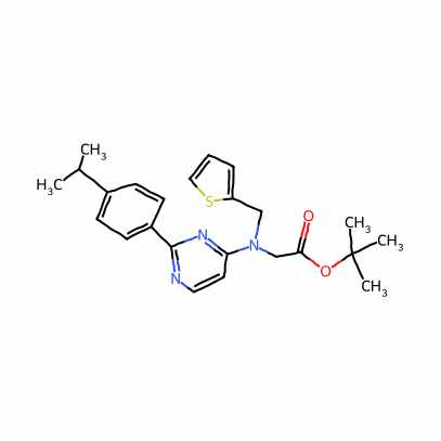 CC(C)c1ccc(-c2nccc(N(CC(=O)OC(C)(C)C)Cc3cccs3)n2)cc1